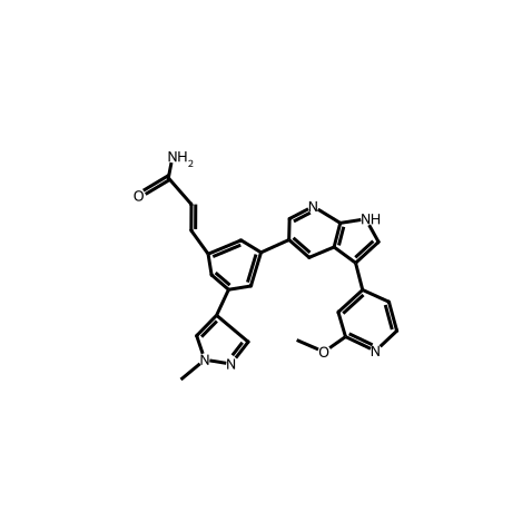 COc1cc(-c2c[nH]c3ncc(-c4cc(C=CC(N)=O)cc(-c5cnn(C)c5)c4)cc23)ccn1